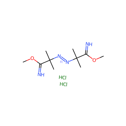 COC(=N)C(C)(C)/N=N/C(C)(C)C(=N)OC.Cl.Cl